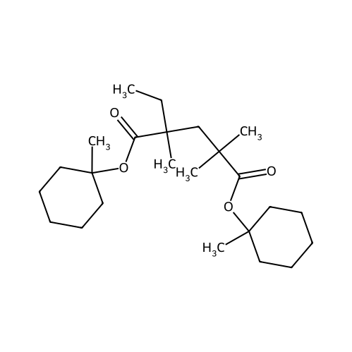 CCC(C)(CC(C)(C)C(=O)OC1(C)CCCCC1)C(=O)OC1(C)CCCCC1